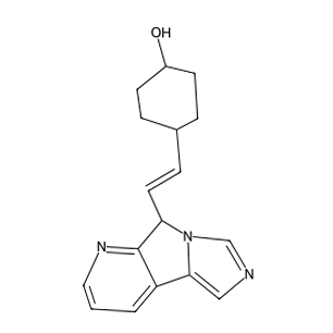 OC1CCC(/C=C/C2c3ncccc3-c3cncn32)CC1